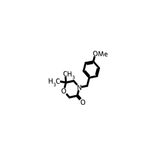 COc1ccc(CN2CC(C)(C)OCC2=O)cc1